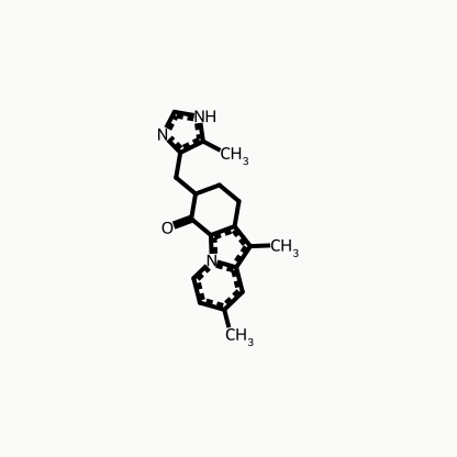 Cc1ccn2c3c(c(C)c2c1)CCC(Cc1nc[nH]c1C)C3=O